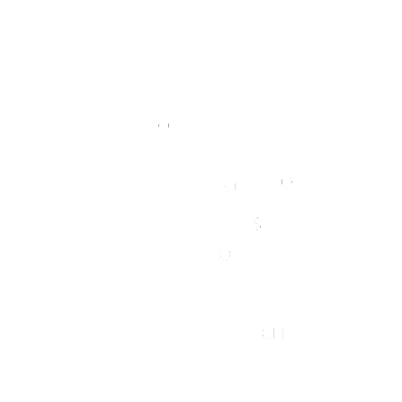 C#CCS(=O)(=O)OC1CCCCC1Oc1ccccc1